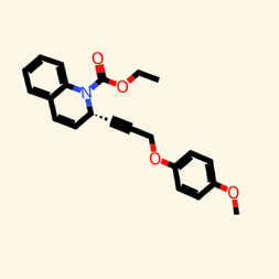 CCOC(=O)N1c2ccccc2C=C[C@H]1C#CCOc1ccc(OC)cc1